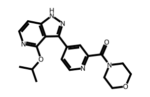 CC(C)Oc1nccc2[nH]nc(-c3ccnc(C(=O)N4CCOCC4)c3)c12